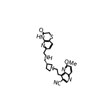 COc1ccc2ncc(C#N)c(CCN3CC[C@@H](CNCc4ccc5c(n4)NC(=O)CS5)C3)c2n1